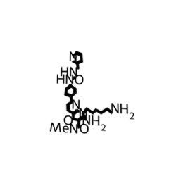 CNC(=O)c1c(N)n(CCCCCCN)c2nc(-c3ccc(NC(=O)NCc4cccnc4)cc3)ccc2c1=O